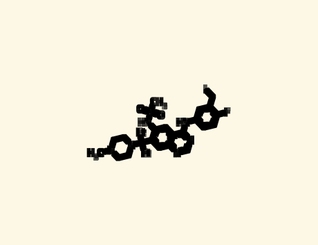 CCC(CC)(c1cc2ncnc(Nc3ccc(F)c(CI)c3)c2cc1NS(C)(=O)=O)N1CCN(C)CC1